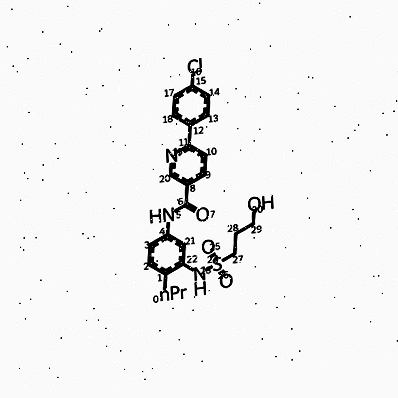 CCCc1ccc(NC(=O)c2ccc(-c3ccc(Cl)cc3)nc2)cc1NS(=O)(=O)CCCO